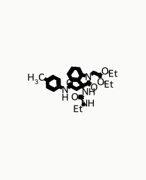 CCNC(=O)NC1(CC(=O)Nc2ccc(C)cc2)C(=O)N(CC(OCC)OCC)c2ccccc21